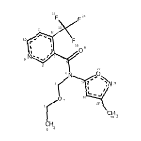 CCOCN(C(=O)c1cnccc1C(F)(F)F)c1cc(C)no1